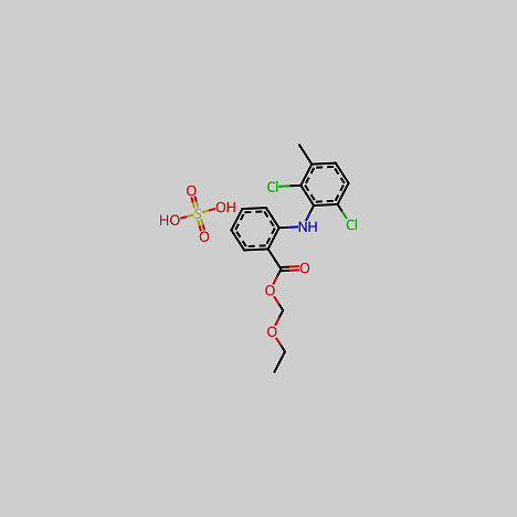 CCOCOC(=O)c1ccccc1Nc1c(Cl)ccc(C)c1Cl.O=S(=O)(O)O